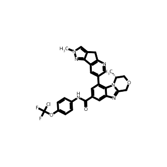 C[C@@H]1COCc2nc3cc(C(=O)Nc4ccc(OC(F)(F)Cl)cc4)cc(-c4cnc5c(c4)-c4nn(C)cc4C5)c3n21